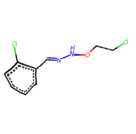 ClCCONN=Cc1ccccc1Cl